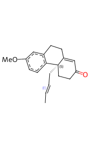 C/C=C/C[C@@]12CCC(=O)C=C1CCc1cc(OC)ccc12